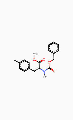 CCN(C(=O)OCc1ccccc1)[C@@H](Cc1ccc(C)cc1)C(=O)OC(C)(C)C